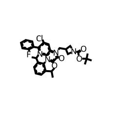 CC(C)c1cccc(C(C)C)c1-n1c(=O)c(=O)n(CC2CN(C(=O)OC(C)(C)C)C2)c2cc(Cl)c(-c3ccccc3F)nc21